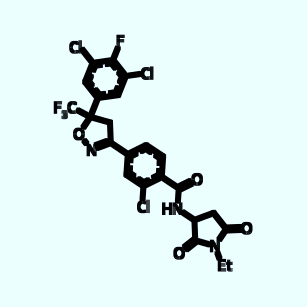 CCN1C(=O)CC(NC(=O)c2ccc(C3=NOC(c4cc(Cl)c(F)c(Cl)c4)(C(F)(F)F)C3)cc2Cl)C1=O